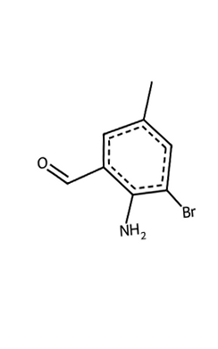 Cc1cc(Br)c(N)c(C=O)c1